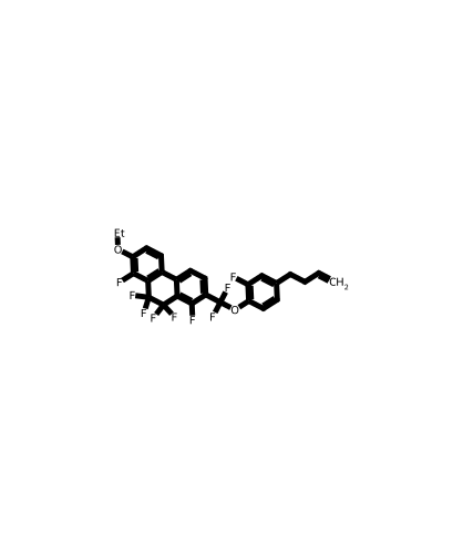 C=CCCc1ccc(OC(F)(F)c2ccc3c(c2F)C(F)(F)C(F)(F)c2c-3ccc(OCC)c2F)c(F)c1